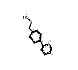 OSCc1ccc(-c2ccccn2)cc1